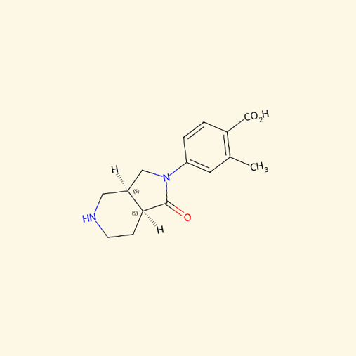 Cc1cc(N2C[C@@H]3CNCC[C@@H]3C2=O)ccc1C(=O)O